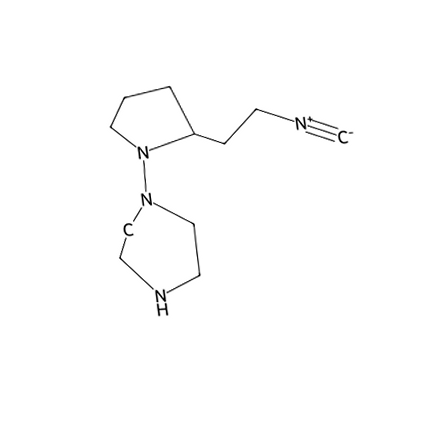 [C-]#[N+]CCC1CCCN1N1CCNCC1